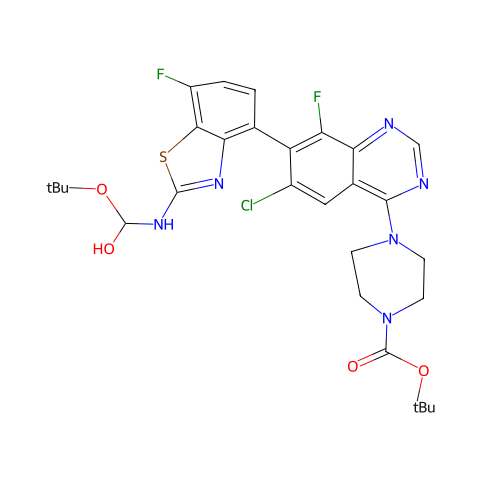 CC(C)(C)OC(=O)N1CCN(c2ncnc3c(F)c(-c4ccc(F)c5sc(NC(O)OC(C)(C)C)nc45)c(Cl)cc23)CC1